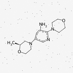 C[C@H]1CN(c2cnc(N3CCOCC3)c(N)c2)CCO1